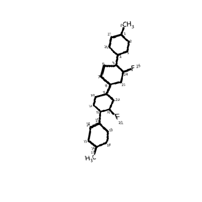 CC1CCC(C2CCC(C3CCC(C4CCC(C)CC4)C(F)C3)CC2F)CC1